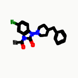 CCC(=O)n1c(=O)n(N2CCC(Cc3ccccc3)CC2)c2ccc(F)cc21